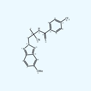 COc1ccc2nn(CC(C)(C#N)NC(=S)c3ccc(C(F)(F)F)cc3)nc2c1